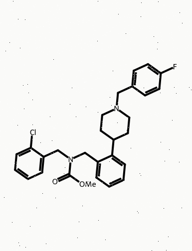 COC(=O)N(Cc1ccccc1Cl)Cc1ccccc1C1CCN(Cc2ccc(F)cc2)CC1